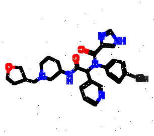 CC(C)(C)c1ccc(N(C(=O)c2c[nH]cn2)C(C(=O)NC2CCCN(CC3CCOC3)C2)c2cccnc2)cc1